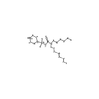 CCCCCCCCC(CCCCCC)C(=O)OC(C)(C)C1CCNCC1